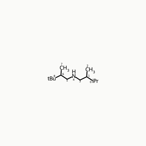 CC(C)C(C)CNCC(C)C(C)(C)C